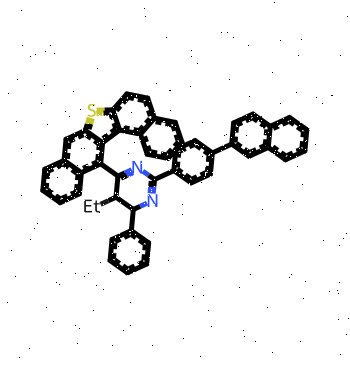 CCC1C(c2c3ccccc3cc3sc4ccc5ccccc5c4c23)=NC(c2ccc(-c3ccc4ccccc4c3)cc2)=NC1c1ccccc1